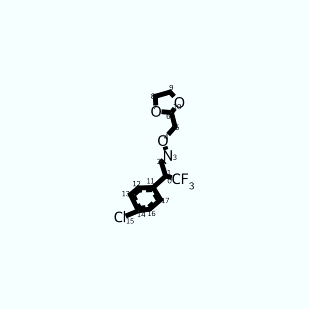 FC(F)(F)C(C=NOCC1OCCO1)c1ccc(Cl)cc1